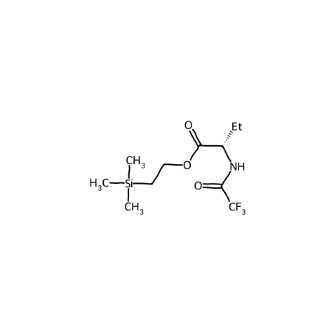 CC[C@H](NC(=O)C(F)(F)F)C(=O)OCC[Si](C)(C)C